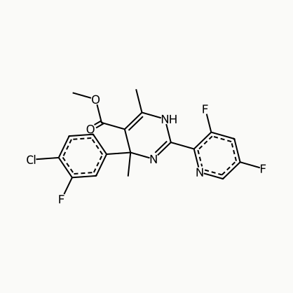 COC(=O)C1=C(C)NC(c2ncc(F)cc2F)=NC1(C)c1ccc(Cl)c(F)c1